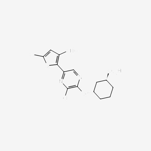 Cc1nc(-c2sc(Cl)cc2C=O)cnc1O[C@H]1CCC[C@H](C(=O)O)C1